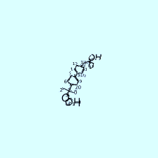 CC(C)(OO)c1ccc(-c2ccc(CC(=O)O)cc2)cc1